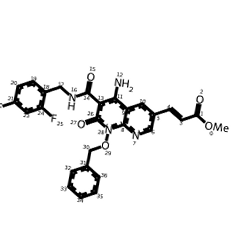 COC(=O)C=Cc1cnc2c(c1)c(N)c(C(=O)NCc1ccc(F)cc1F)c(=O)n2OCc1ccccc1